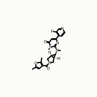 Cc1cc(C(=O)N2C[C@@H]3[C@H](C2)[C@@H]3N(C)c2nc(-c3ccncc3F)cc(=O)n2C)c(C)o1